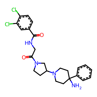 NC1(c2ccccc2)CCN(C2CCN(C(=O)CNC(=O)c3ccc(Cl)c(Cl)c3)C2)CC1